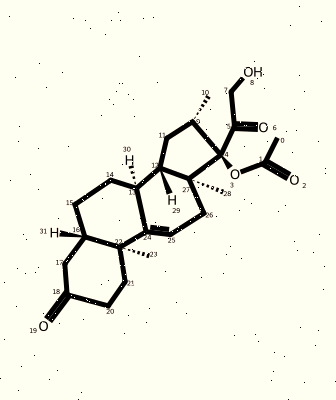 CC(=O)O[C@]1(C(=O)CO)[C@@H](C)C[C@H]2[C@@H]3CC[C@H]4CC(=O)CC[C@]4(C)C3=CC[C@@]21C